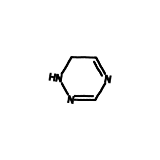 C1=NC=NNC1